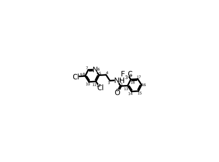 O=C(NCCc1ncc(Cl)cc1Cl)c1ccccc1C(F)(F)F